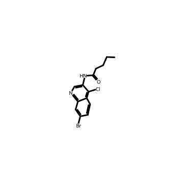 CCCCC(=O)Nc1cnc2cc(Br)ccc2c1Cl